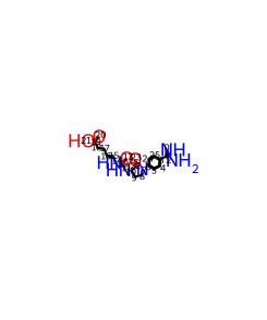 N=C(N)c1ccc(N2CCC(NC(=O)NC=CCCC(=O)O)C2=O)cc1